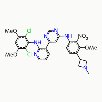 COc1cc(OC)c(Cl)c(Nc2ncccc2-c2cc(Nc3ccc(C4CN(C)C4)c(OC)c3[N+](=O)[O-])ncn2)c1Cl